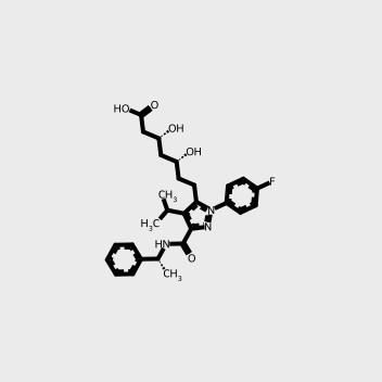 CC(C)c1c(C(=O)N[C@H](C)c2ccccc2)nn(-c2ccc(F)cc2)c1CC[C@@H](O)C[C@@H](O)CC(=O)O